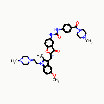 COc1ccc2c(c1)c(/C=C1\Oc3ccc(NC(=O)Nc4ccc(C(=O)N5CCN(C)CC5)cc4)cc3C1=O)c(C)n2CCN1CCN(C)CC1